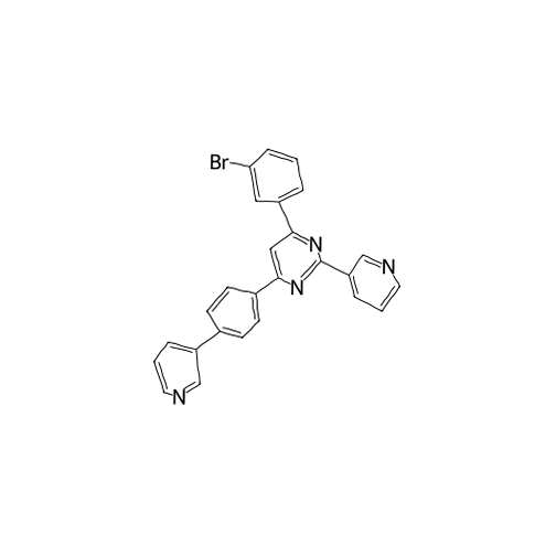 Brc1cccc(-c2cc(-c3ccc(-c4cccnc4)cc3)nc(-c3cccnc3)n2)c1